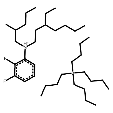 CCCCC(CC)CC[NH+](CC(C)CCC)c1cccc(F)c1F.CCCC[B-](CCCC)(CCCC)CCCC